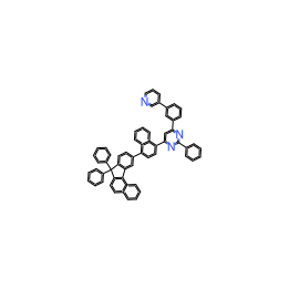 c1ccc(-c2nc(-c3cccc(-c4cccnc4)c3)cc(-c3ccc(-c4ccc5c(c4)-c4c(ccc6ccccc46)C5(c4ccccc4)c4ccccc4)c4ccccc34)n2)cc1